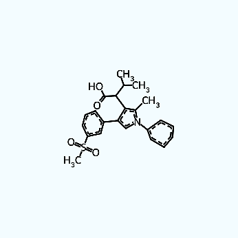 Cc1c(C(C(=O)O)C(C)C)c(-c2cccc(S(C)(=O)=O)c2)cn1-c1ccccc1